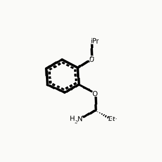 C[CH][C@H](N)Oc1ccccc1OC(C)C